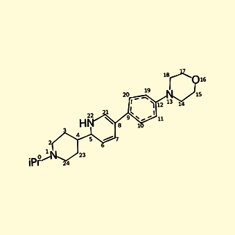 CC(C)N1CCC(C2C=CC(c3ccc(N4CCOCC4)cc3)=CN2)CC1